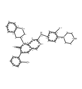 O=c1c(-c2ccccc2Cl)cc2cnc(Nc3ccc(N4CCNCC4)c(F)c3)nc2n1C1COc2ccccc2C1